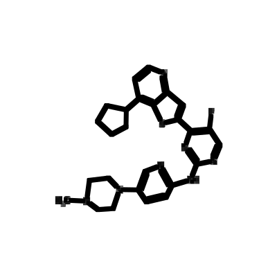 CN1CCN(c2ccc(Nc3ncc(F)c(-c4cc5nccc(C6CCCC6)c5s4)n3)nc2)CC1